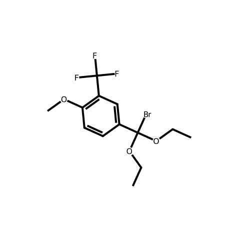 CCOC(Br)(OCC)c1ccc(OC)c(C(F)(F)F)c1